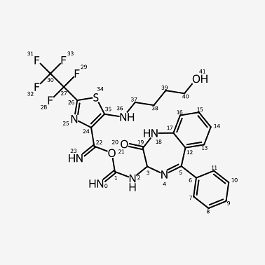 N=C(NC1N=C(c2ccccc2)c2ccccc2NC1=O)OC(=N)c1nc(C(F)(F)C(F)(F)F)sc1NCCCCO